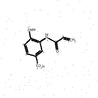 C=CC(=O)Nc1cc(C(=O)O)ccc1OC